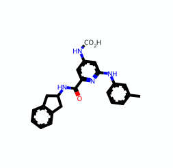 Cc1cccc(Nc2cc(NC(=O)O)cc(C(=O)NC3Cc4ccccc4C3)n2)c1